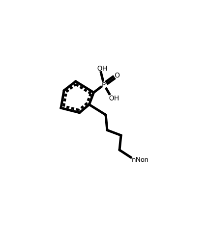 CCCCCCCCCCCCCc1ccccc1P(=O)(O)O